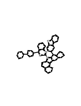 c1ccc(-c2ccc(-c3nc(-n4c5ccc6ccccc6c5c5cc6ccccc6c(-c6ccc7oc8ccccc8c7c6)c54)nc4ccccc34)cc2)cc1